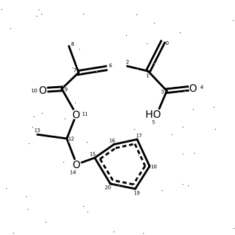 C=C(C)C(=O)O.C=C(C)C(=O)OC(C)Oc1ccccc1